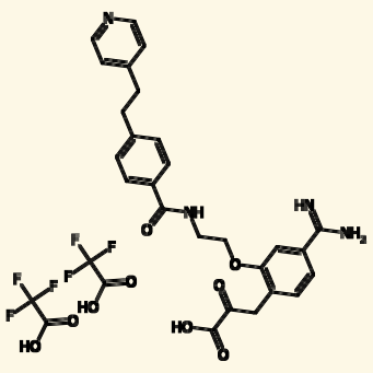 N=C(N)c1ccc(CC(=O)C(=O)O)c(OCCNC(=O)c2ccc(CCc3ccncc3)cc2)c1.O=C(O)C(F)(F)F.O=C(O)C(F)(F)F